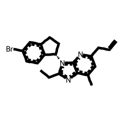 C=CCc1cc(C)c2nc(CC)n([C@H]3CCc4cc(Br)ccc43)c2n1